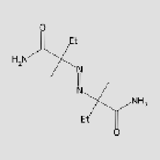 CCC(C)(N=NC(C)(CC)C(N)=O)C(N)=O